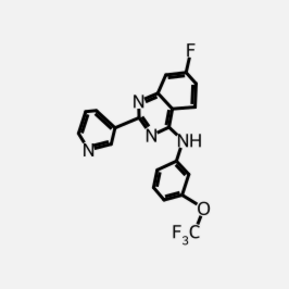 Fc1ccc2c(Nc3cccc(OC(F)(F)F)c3)nc(-c3cccnc3)nc2c1